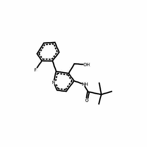 CC(C)(C)C(=O)Nc1ccnc(-c2ccccc2F)c1CO